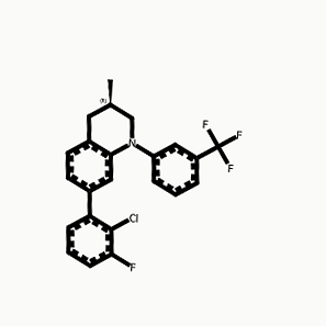 C[C@@H]1Cc2ccc(-c3cccc(F)c3Cl)cc2N(c2cccc(C(F)(F)F)c2)C1